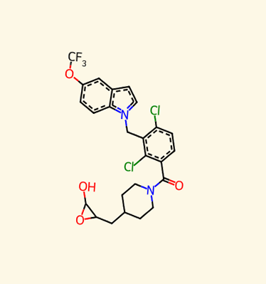 O=C(c1ccc(Cl)c(Cn2ccc3cc(OC(F)(F)F)ccc32)c1Cl)N1CCC(CC2OC2O)CC1